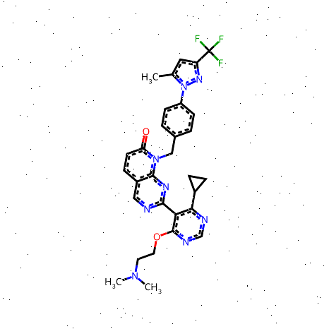 Cc1cc(C(F)(F)F)nn1-c1ccc(Cn2c(=O)ccc3cnc(-c4c(OCCN(C)C)ncnc4C4CC4)nc32)cc1